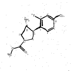 CC(C)(C)OC(=O)N1C[C@H](c2ccc(Cl)cc2F)[C@@H](N)C1